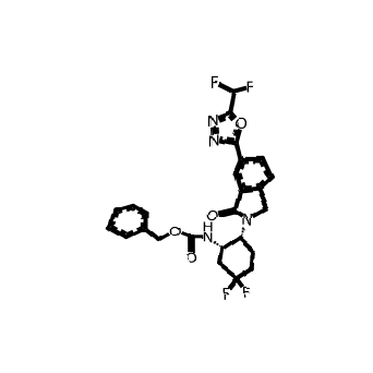 O=C(N[C@H]1CC(F)(F)CC[C@H]1N1Cc2ccc(-c3nnc(C(F)F)o3)cc2C1=O)OCc1ccccc1